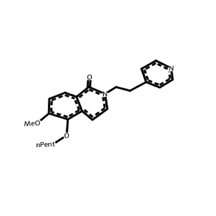 CCCCCOc1c(OC)ccc2c(=O)n(CCc3ccncc3)ccc12